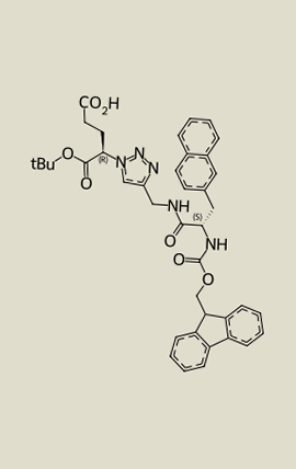 CC(C)(C)OC(=O)[C@@H](CCC(=O)O)n1cc(CNC(=O)[C@H](Cc2ccc3ccccc3c2)NC(=O)OCC2c3ccccc3-c3ccccc32)nn1